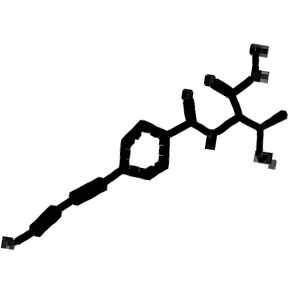 CC(C)C#CC#Cc1ccc(C(=O)NC(C(=O)NO)[C@@H](C)N)cc1